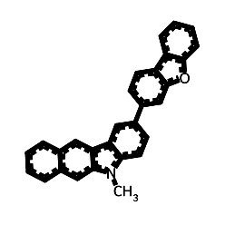 Cn1c2ccc(-c3ccc4c(c3)oc3ccccc34)cc2c2cc3ccccc3cc21